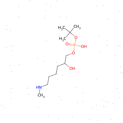 CNCCCCC(O)COP(=O)(O)OC(C)(C)C